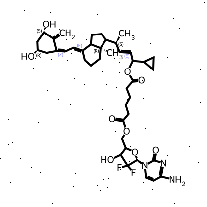 C=C1/C(=C\C=C2/CCC[C@@]3(C)C2CCC3[C@@H](C)/C=C/C(OC(=O)CCCCC(=O)OCC2OC(n3ccc(N)nc3=O)C(F)(F)C2O)C2CC2)C[C@@H](O)C[C@@H]1O